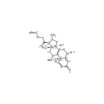 CCCCCOCC(=O)[C@H]1C(C)C[C@H]2C3=C(C(O)C[C@@]21C)[C@@]1(C)C=CC(=O)C=C1C(F)C3